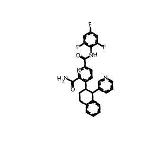 NC(=O)c1nc(C(=O)Nc2c(F)cc(F)cc2F)ccc1C1CCc2ccccc2C1c1cccnc1